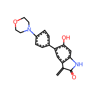 C=C1C(=O)Nc2cc(O)c(-c3ccc(N4CCOCC4)cc3)cc21